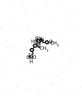 CCOc1cc(-c2cccc(/C=C3\SC(=O)NC3=O)c2)ccc1-c1nc2c(nnn2Cc2ccc(OC)cc2)c(=O)[nH]1